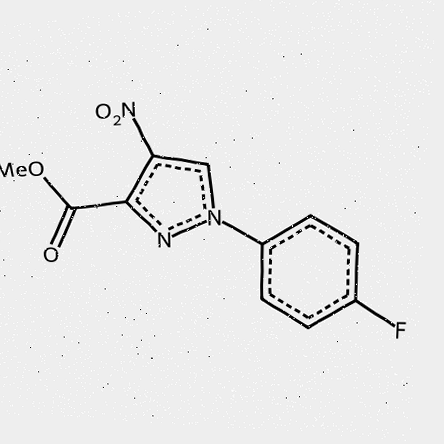 COC(=O)c1nn(-c2ccc(F)cc2)cc1[N+](=O)[O-]